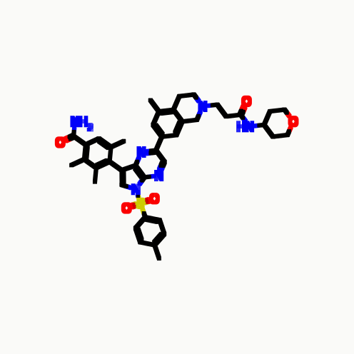 Cc1ccc(S(=O)(=O)n2cc(-c3c(C)cc(C(N)=O)c(C)c3C)c3nc(-c4cc(C)c5c(c4)CN(CCC(=O)NC4CCOCC4)CC5)cnc32)cc1